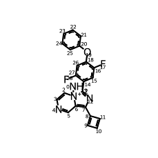 N[N+]12C=CN=CC1=C(C1=CC=C1)N=C2c1cc(F)c(Oc2ccccc2)cc1F